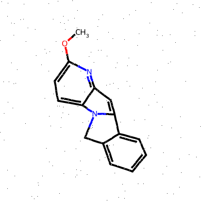 COc1ccc2c(cc3n2Cc2ccccc2-3)n1